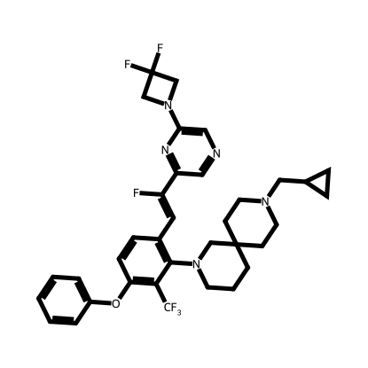 F/C(=C\c1ccc(Oc2ccccc2)c(C(F)(F)F)c1N1CCCC2(CCN(CC3CC3)CC2)C1)c1cncc(N2CC(F)(F)C2)n1